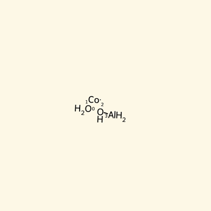 O.[Co].[OH][AlH2]